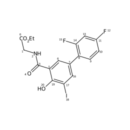 CCOC(=O)CNC(=O)c1cc(-c2ccc(F)cc2F)cc(I)c1O